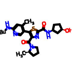 Cc1cc(NC(C)(C)C)ncc1-c1sc(C(=O)N[C@H]2CC[C@H](O)C2)nc1C(=O)N1CCC[C@@H]1C